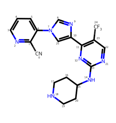 N#Cc1ncccc1-n1cnc(-c2nc(NC3CCNCC3)ncc2C(F)(F)F)c1